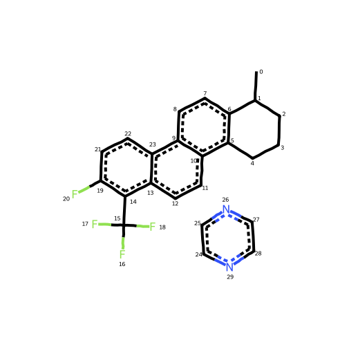 CC1CCCc2c1ccc1c2ccc2c(C(F)(F)F)c(F)ccc21.c1cnccn1